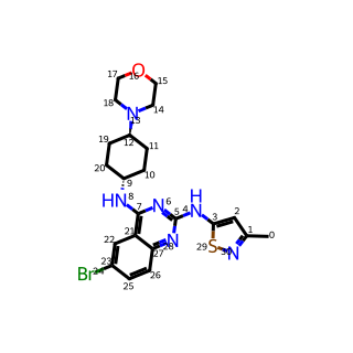 Cc1cc(Nc2nc(N[C@H]3CC[C@H](N4CCOCC4)CC3)c3cc(Br)ccc3n2)sn1